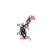 CCC1(O)CCN(C(=O)CCC(C)[C@H]2CC[C@H]3[C@@H]4CC=C5C[C@@](C)(O)CC[C@]5(C)[C@H]4CC[C@]23C)CC1